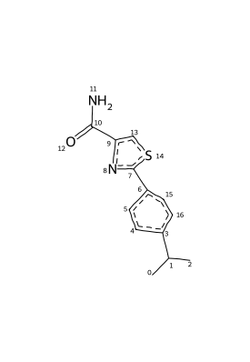 CC(C)c1ccc(-c2nc(C(N)=O)cs2)cc1